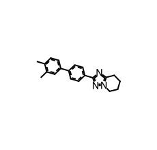 Cc1ccc(-c2ccc(-c3nc4n(n3)CCCC4)cc2)cc1C